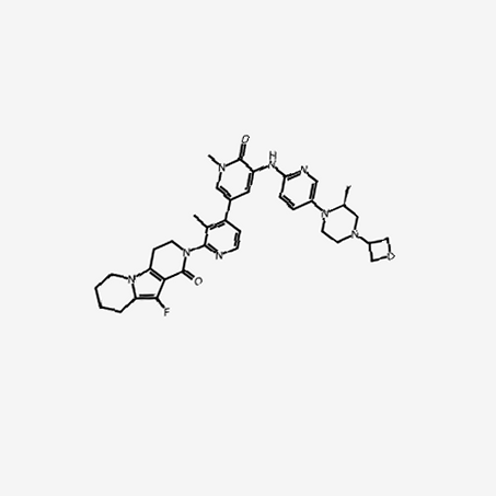 Cc1c(-c2cc(Nc3ccc(N4CCN(C5COC5)C[C@@H]4C)cn3)c(=O)n(C)c2)ccnc1N1CCc2c(c(F)c3n2CCCC3)C1=O